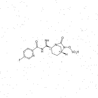 N=C(NC(=O)c1ccc(F)cn1)[C@@H]1CC[C@@H]2CN1C(=O)N2OS(=O)(=O)O